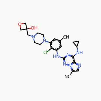 N#Cc1cc(Nc2nc(NC3CC3)c3ncc(C#N)n3n2)c(Cl)c(N2CCN(CC3(O)COC3)CC2)c1